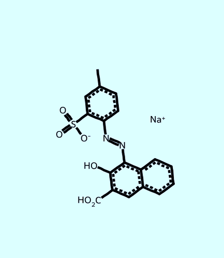 Cc1ccc(N=Nc2c(O)c(C(=O)O)cc3ccccc23)c(S(=O)(=O)[O-])c1.[Na+]